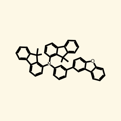 CC1(C)c2ccccc2-c2cccc(N(c3cccc(-c4ccc5oc6ccccc6c5c4)c3)c3cccc4c3C(C)(C)c3ccccc3-4)c21